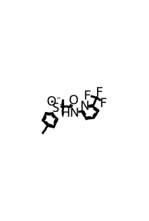 Cc1ccc([S+]([O-])C(C)(C)C(=O)Nc2cccc(C(F)(F)F)n2)cc1